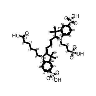 CC1(C)C(/C=C/C=C2/N(CCCCCC(=O)O)c3ccc(S(=O)(=O)O)cc3C2(C)C)=[N+](CCCS(=O)(=O)O)c2ccc(S(=O)(=O)O)cc21